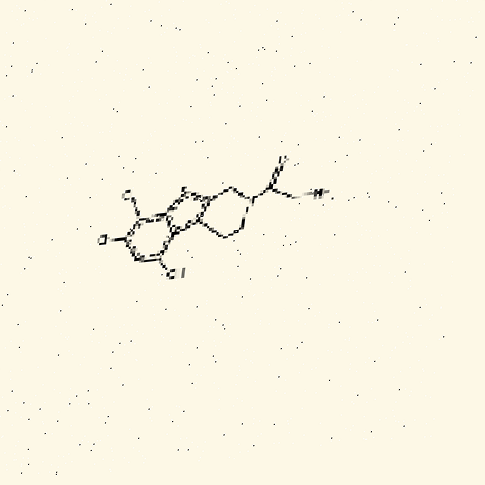 NCC(=O)N1CCc2c(sc3c(Cl)c(Cl)cc(O)c23)C1